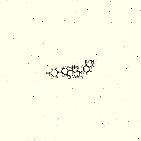 C/N=C\c1ccc(Nc2cc(-c3ccc(C4CCN(C)CC4)cc3OC)[nH]n2)cc1F